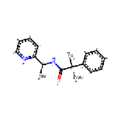 CO[C@@](C(=O)N[C@H](c1ccccn1)C(C)(C)C)(c1ccccc1)C(F)(F)F